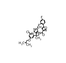 C=C(C)COc1cc(Cl)nc(C(C)(CNC(=O)c2cc(-c3ccc(F)cc3F)on2)c2cnn(C)c2)c1